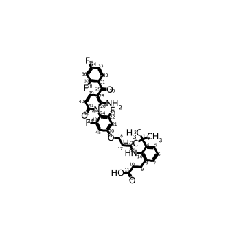 CC(C)(C)c1cccc(CCC(=O)O)c1NCCCOc1cc(F)c(-n2c(N)c(C(=O)c3ccc(F)cc3F)ccc2=O)c(F)c1